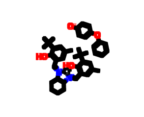 Cc1cc(C=[N+]2[Cr][N+](=Cc3cc(C)cc(C(C)(C)C)c3O)C3CCCCC32)c(O)c(C(C)(C)C)c1.[O-]c1ccc(Oc2ccccc2)cc1